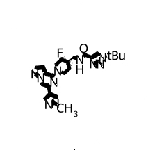 Cn1cc(-c2cn3nccc3c(N3CC[C@H](CNC(=O)c4cn(C(C)(C)C)nn4)[C@H](F)C3)n2)cn1